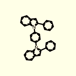 c1ccc(-c2cc3ccccc3n2-c2ccc(-n3c(-c4ccccc4)cc4ccccc43)cc2)cc1